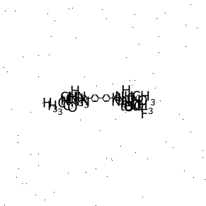 CN(C)C(C)(C)C(=O)NCc1nc(-c2ccc(-c3ccc(-c4c[nH]c(C(NC(=O)C(C)(C)N(C)C(=O)OCCF)C(C)(C)C)n4)cc3)cc2)c[nH]1